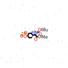 COC(=O)[C@H](NC(=O)OC(C)(C)C)[C@H]1CC[C@H](OS(C)(=O)=O)CC1